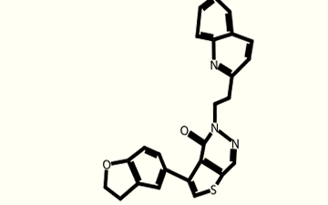 O=c1c2c(-c3ccc4c(c3)CCO4)csc2cnn1CCc1ccc2ccccc2n1